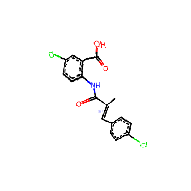 C/C(=C\c1ccc(Cl)cc1)C(=O)Nc1ccc(Cl)cc1C(=O)O